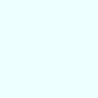 Cl.c1ccc2c(Oc3ccc(OCCCN4CCCCC4)cc3)c(C3CCCCC3)sc2c1